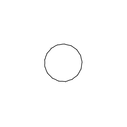 [CH]1CCCCCC[CH]CCCCCCCCC1